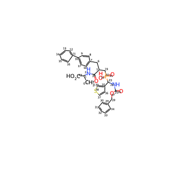 CC(NC(=O)C(Cc1ccc(-c2ccccc2)cc1)CP(=O)(O)C(NC(=O)OCc1ccccc1)c1ccsc1)C(=O)O